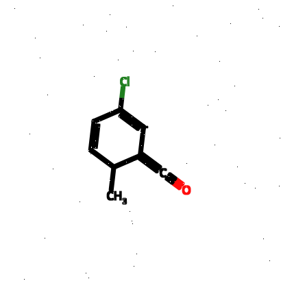 CC1C=CC(Cl)=[C]C1=C=O